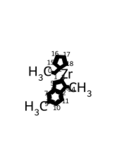 CC[C]1([Zr][C]2=Cc3cc(C)ccc3C2C)C=CC=C1